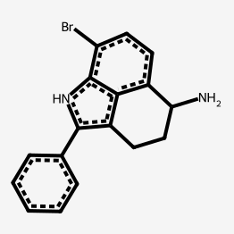 NC1CCc2c(-c3ccccc3)[nH]c3c(Br)ccc1c23